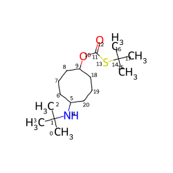 CC(C)(C)NC1CCCC(OC(=O)SC(C)(C)C)CCC1